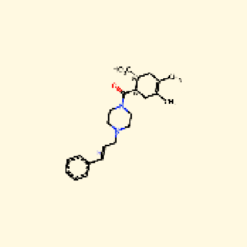 CC1=C(C)C[C@@H](C(=O)N2CCN(C/C=C/c3ccccc3)CC2)[C@H](C(=O)O)C1